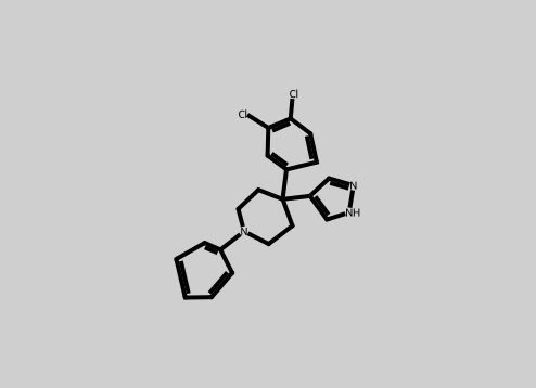 Clc1ccc(C2(c3cn[nH]c3)CCN(c3ccccc3)CC2)cc1Cl